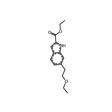 CCOCCc1ccc2cc(C(=O)OCC)[nH]c2c1